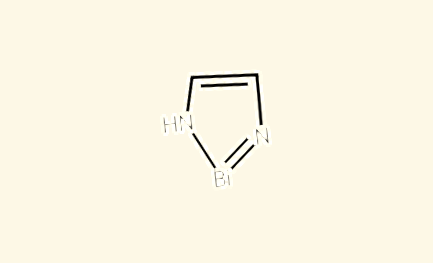 C1=C[NH][Bi]=[N]1